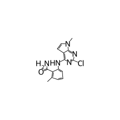 Cc1cccc(Nc2nc(Cl)nc3c2ccn3C)c1C(N)=O